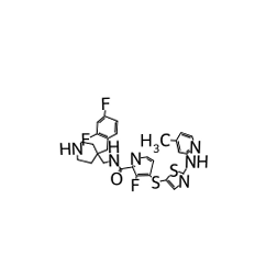 Cc1ccnc(Nc2ncc(Sc3ccnc(C(=O)NCC4(Cc5ccc(F)cc5F)CCNCC4)c3F)s2)c1